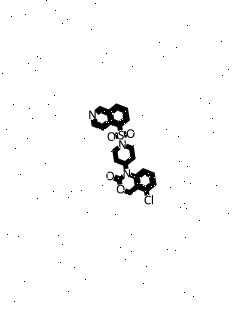 O=C1OCc2c(Cl)cccc2N1C1CCN(S(=O)(=O)c2cccc3cnccc23)CC1